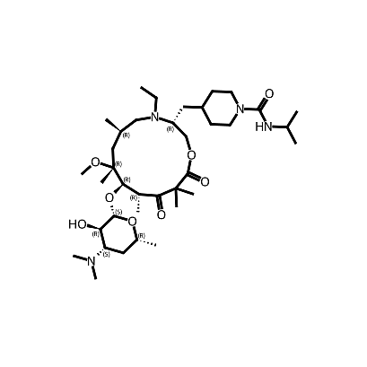 CCN1C[C@H](C)C[C@@](C)(OC)[C@H](O[C@@H]2O[C@H](C)C[C@H](N(C)C)[C@H]2O)[C@@H](C)C(=O)C(C)(C)C(=O)OC[C@H]1CC1CCN(C(=O)NC(C)C)CC1